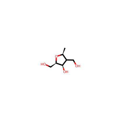 C[C@@H]1O[C@H](CO)[C@H](O)C1CO